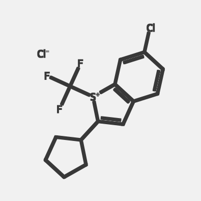 FC(F)(F)[s+]1c(C2CCCC2)cc2ccc(Cl)cc21.[Cl-]